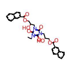 CCn1c(=O)n(CC(O)COC(=O)c2ccc3ccccc3c2)c(=O)n(CC(O)COC(=O)c2ccc3ccccc3c2)c1=O